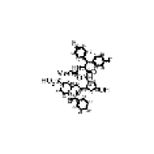 COC(=O)NC(C(=O)NC1CC(O)CC1CCC1CN(C(=O)O)CCN1S(=O)(=O)c1ccccc1)C(c1ccc(F)cc1)c1ccc(F)cc1